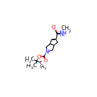 CNC(=O)C1=CC2CN(C(=O)OC(C)(C)C)CC2C1